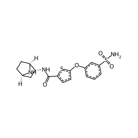 NS(=O)(=O)c1cccc(Oc2ccc(C(=O)N[C@@H]3C[C@H]4CC[C@@H]3N4)s2)c1